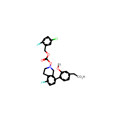 CCOc1cc(CC(=O)O)ccc1-c1ccc(F)c2c1CN(OC(=O)OCc1cc(Cl)ccc1F)CC2